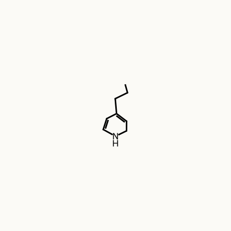 CCCC1=CCNC=C1